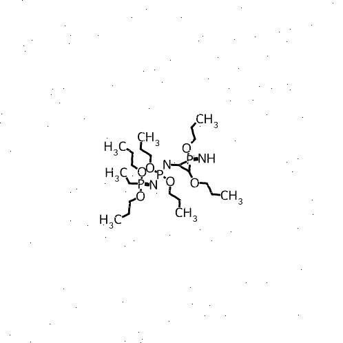 CCCOC1C(N=P(N=P(CC)(OCCC)OCCC)(OCCC)OCCC)P1(=N)OCCC